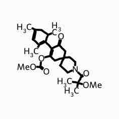 COC(=O)OC1=C(C2=C(C)C=C(C)CC2C)C(=O)CC2(CCN(C(=O)C(C)(C)OC)CC2)C1